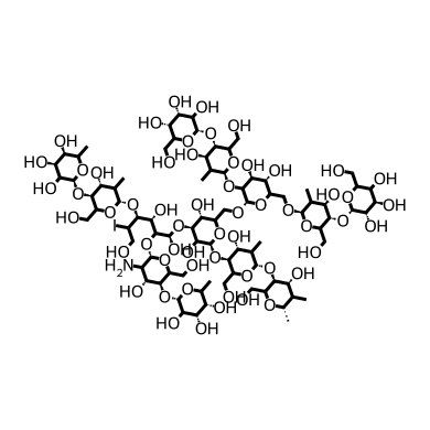 CC1[C@H](O[C@H](C(I)CO)[C@H](O)C(O[C@@H]2OC(CO)[C@@H](O[C@@H]3OC(C)[C@H](O)[C@H](O)C3O)[C@H](O)C2N)[C@H](O)O[C@@H]2C(O)[C@H](O[C@@H]3C(CO)O[C@@H](O[C@@H]4C(CO)O[C@@H](C)C(C)[C@H]4O)C(C)[C@H]3O)OC(CO[C@H]3OC(CO[C@@H]4OC(CO)[C@@H](O[C@@H]5OC(CO)C(O)[C@@H](O)[C@@H]5O)[C@H](O)C4C)[C@@H](O)[C@H](O)C3O[C@@H]3OC(CO)[C@@H](O[C@@H]4OC(CO)[C@H](O)[C@H](O)C4O)[C@H](O)C3C)[C@H]2O)OC(CO)[C@@H](O[C@@H]2OC(C)[C@H](O)[C@H](O)C2O)[C@@H]1O